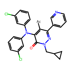 CC(=O)c1c(-c2cccnc2)nn(CC2CC2)c(=O)c1N(c1cccc(Cl)c1)c1cccc(Cl)c1